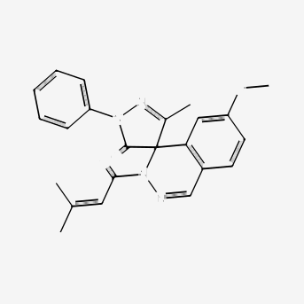 COc1ccc2c(c1)C1(C(=O)N(c3ccccc3)N=C1C)N(C(=O)C=C(C)C)N=C2